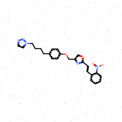 O=[N+]([O-])c1ccccc1/C=C/c1nc(COc2ccc(CCCCn3ccnn3)cc2)co1